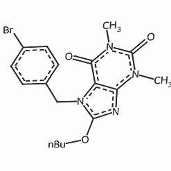 CCCCOc1nc2c(c(=O)n(C)c(=O)n2C)n1Cc1ccc(Br)cc1